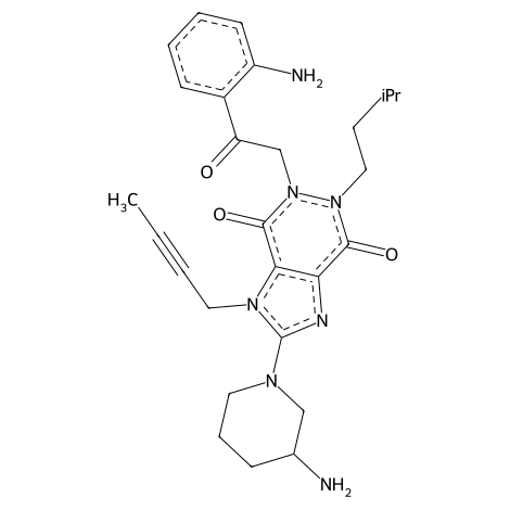 CC#CCn1c(N2CCCC(N)C2)nc2c(=O)n(CCC(C)C)n(CC(=O)c3ccccc3N)c(=O)c21